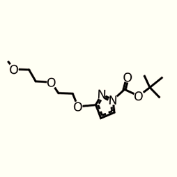 COCCOCCOc1ccn(C(=O)OC(C)(C)C)n1